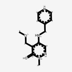 COCc1c(NCc2ccncc2)cnn(C)c1=O